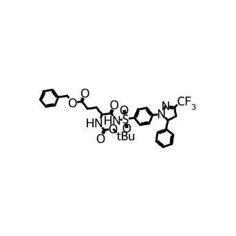 CC(C)(C)OC(=O)NC(CCC(=O)OCc1ccccc1)C(=O)NS(=O)(=O)c1ccc(N2N=C(C(F)(F)F)CC2c2ccccc2)cc1